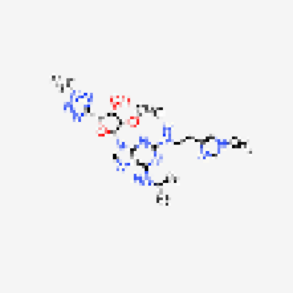 CCC(CC)Nc1nc(NCCc2cn(C)cn2)nc2c1ncn2[C@@H]1O[C@H](c2nnn(C)n2)[C@@H](O)[C@H]1OC=O